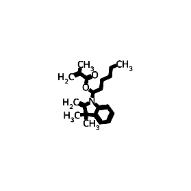 C=C(C)C(=O)OC(CCCCC)N1C(=C)C(C)(C)c2ccccc21